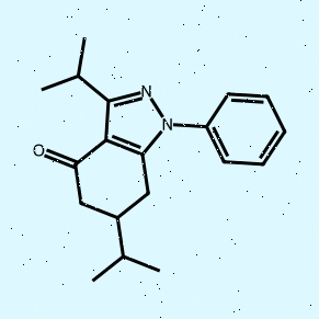 CC(C)c1nn(-c2ccccc2)c2c1C(=O)CC(C(C)C)C2